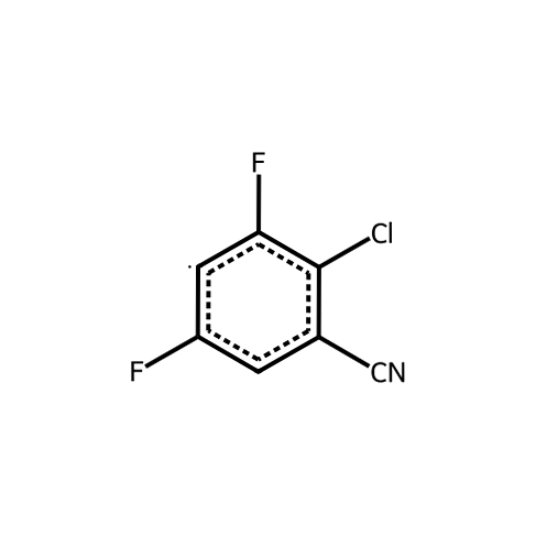 N#Cc1cc(F)[c]c(F)c1Cl